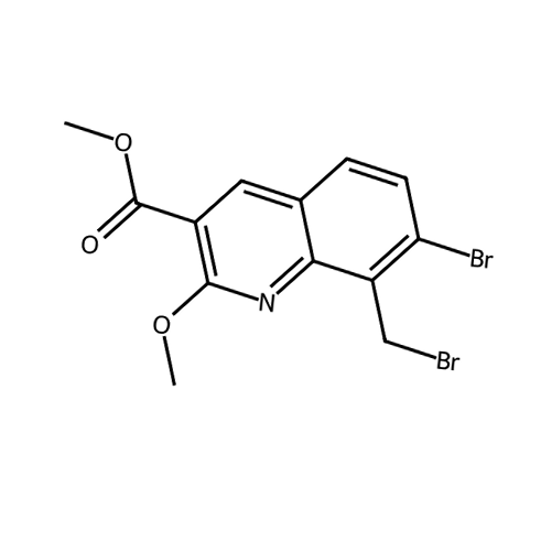 COC(=O)c1cc2ccc(Br)c(CBr)c2nc1OC